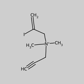 C#CC[N+](C)(C)CC(=C)I